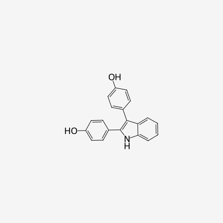 Oc1ccc(-c2[nH]c3ccccc3c2-c2ccc(O)cc2)cc1